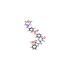 CC(C(=O)c1ccc(OC(=O)c2ccc(CN3CCOCC3)cc2)cc1)N1CCC(O)(c2ccccc2)CC1